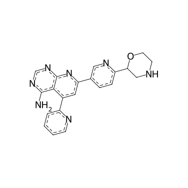 Nc1ncnc2nc(-c3ccc(C4CNCCO4)nc3)cc(-c3ccccn3)c12